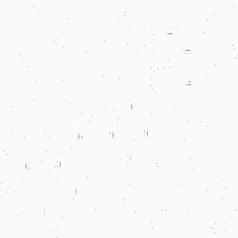 COc1ccccc1-c1ccc2c(/C=C3\Sc4cccc5c4N3CCC5)cc(Cl)nc2c1.Cl